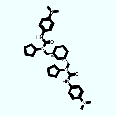 CN(C)c1ccc(NC(=O)N(C[C@H]2CCC[C@H](CN(C(=O)Nc3ccc(N(C)C)cc3)C3CCCC3)C2)C2CCCC2)cc1